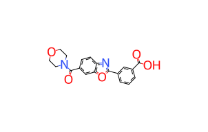 O=C(O)c1cccc(-c2nc3ccc(C(=O)N4CCOCC4)cc3o2)c1